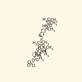 CC(C)[C@H](OC(=O)C(C)(C)/C=C/c1cc2cc([C@@H](C)NC(=O)OC(C)(C)C)ccc2cn1)C(=O)N[C@@H](C)C(=O)N1CCC[C@@H](C(=O)OCC(Cl)(Cl)Cl)N1